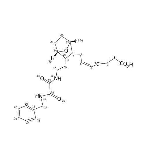 O=C(O)CCC/C=C\C[C@@H]1[C@H](CCNC(=O)C(=O)NCc2ccccc2)[C@@H]2CC[C@H]1O2